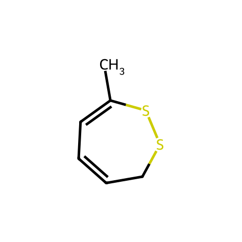 CC1=CC=CCSS1